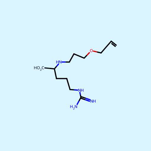 C=CCOCCCNC(CCCNC(=N)N)C(=O)O